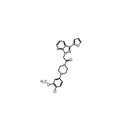 COc1cc(N2CCN(C(=O)Cn3nc(-c4ccco4)c4cccnc43)CC2)ccc1Cl